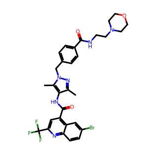 Cc1nn(Cc2ccc(C(=O)NCCN3CCOCC3)cc2)c(C)c1NC(=O)c1cc(C(F)(F)F)nc2ccc(Br)cc12